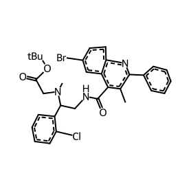 Cc1c(-c2ccccc2)nc2ccc(Br)cc2c1C(=O)NCC(c1ccccc1Cl)N(C)CC(=O)OC(C)(C)C